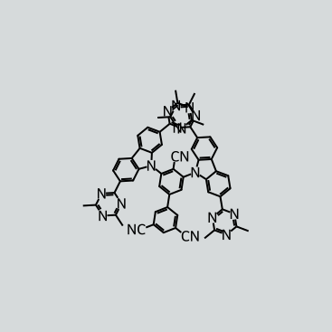 Cc1nc(C)nc(-c2ccc3c4ccc(-c5nc(C)nc(C)n5)cc4n(-c4cc(-c5cc(C#N)cc(C#N)c5)cc(-n5c6cc(-c7nc(C)nc(C)n7)ccc6c6ccc(-c7nc(C)nc(C)n7)cc65)c4C#N)c3c2)n1